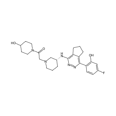 O=C(CN1CCC[C@@H](Nc2nnc(-c3ccc(F)cc3O)c3c2CCC3)C1)N1CCC(O)CC1